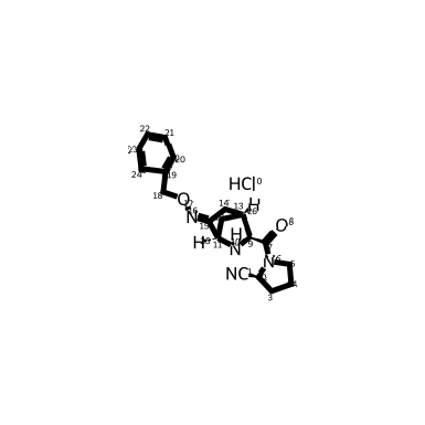 Cl.N#C[C@@H]1CCCN1C(=O)[C@H]1N[C@@H]2C[C@H]1C/C2=N\OCc1ccccc1